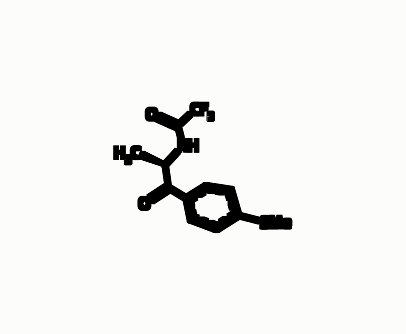 CSc1ccc(C(=O)[C@@H](C)NC(=O)C(F)(F)F)cc1